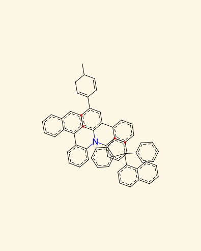 CC1C=CC(c2ccc(N(c3ccccc3)c3ccccc3-c3cccc4ccccc34)c(-c3cccc4c3-c3ccccc3C4(c3ccccc3)c3cccc4ccccc34)c2)=CC1